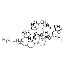 CCCCCCC1CCC([C@H]2CCC[C@](OCCC)([SiH2]OC(C)=CC(C)=O)C2([SiH2]OC(C)=CC(C)=O)[SiH2]OC(C)=CC(C)=O)CC1